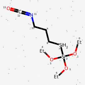 CCO[Si](OCC)(OCC)[SiH2]CCCN=C=O